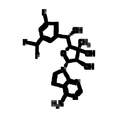 C[C@@]1(O)[C@@H]([C@@H](O)c2cc(F)cc(C(F)F)c2)O[C@@H](n2ccc3c(N)ncnc32)[C@@H]1O